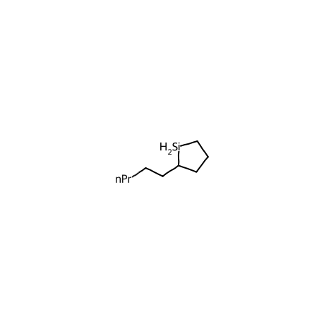 CCCCCC1CCC[SiH2]1